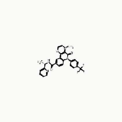 C[C@H](NC(=O)c1ccc2c(c1)c1c(c(=O)n2-c2ccc(C(F)(F)F)cc2)N(C)C=CO1)c1ccccn1